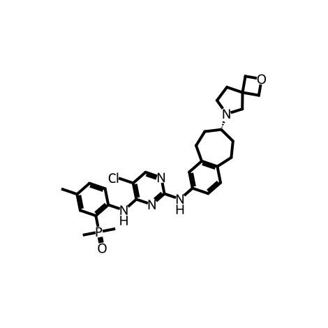 Cc1ccc(Nc2nc(Nc3ccc4c(c3)CC[C@H](N3CCC5(COC5)C3)CC4)ncc2Cl)c(P(C)(C)=O)c1